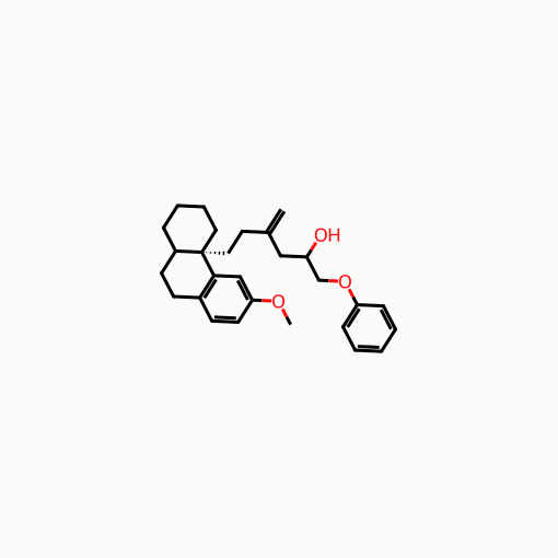 C=C(CC[C@@]12CCCCC1CCc1ccc(OC)cc12)CC(O)COc1ccccc1